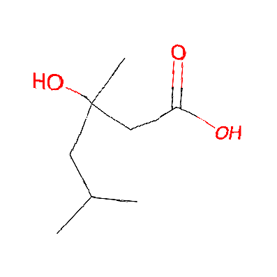 CC(C)CC(C)(O)CC(=O)O